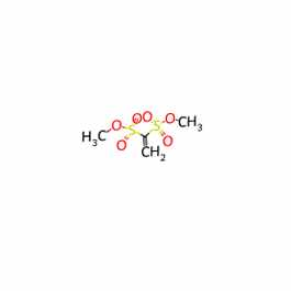 C=C(S(=O)(=O)OC)S(=O)(=O)OC